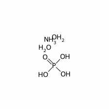 N.O.O.O=P(O)(O)O